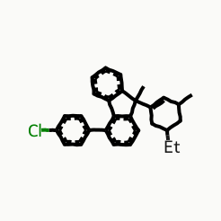 CCC1CC(C2(C)c3ccccc3-c3c(-c4ccc(Cl)cc4)cccc32)=CC(C)C1